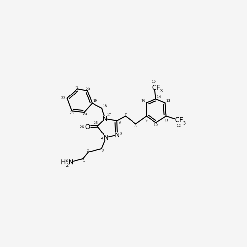 NCCCn1nc(CCc2cc(C(F)(F)F)cc(C(F)(F)F)c2)n(Cc2ccccc2)c1=O